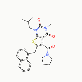 CC(C)Cn1c(=O)n(C)c(=O)c2c(C(=O)N3CCCC3)c(Cc3cccc4ccccc34)sc21